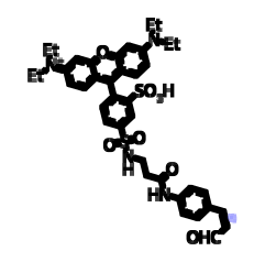 CCN(CC)c1ccc2c(-c3ccc(S(=O)(=O)NCCC(=O)Nc4ccc(/C=C\C=O)cc4)cc3S(=O)(=O)O)c3ccc(=[N+](CC)CC)cc-3oc2c1